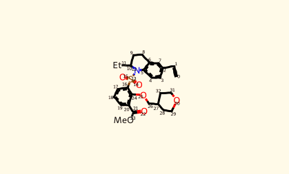 C=Cc1ccc2c(c1)CCC(CC)N2S(=O)(=O)c1cccc(C(=O)OC)c1OCC1CCOCC1